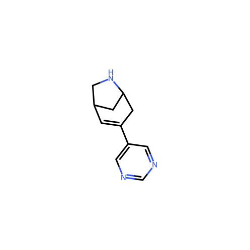 C1=C(c2cncnc2)CC2CC1CN2